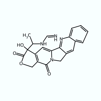 CC(NC=N)C1(O)C(=O)OCc2c1cc1n(c2=O)Cc2cc3ccccc3nc2-1